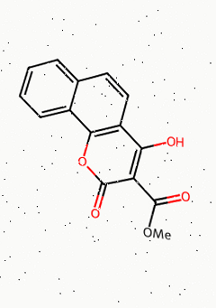 COC(=O)c1c(O)c2ccc3ccccc3c2oc1=O